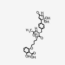 CC(=O)N[C@@H](Cc1ccc(C2=CC(=O)NS2(O)O)cc1)C(=O)NCCCCOc1cccc(O)c1C(=O)O